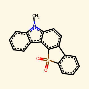 Cn1c2ccccc2c2c3c(ccc21)-c1ccccc1S3(=O)=O